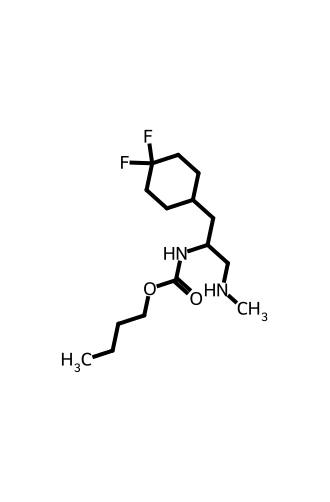 CCCCOC(=O)NC(CNC)CC1CCC(F)(F)CC1